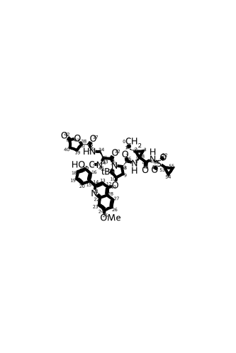 C=C[C@@H]1C[C@]1(NC(=O)[C@@H]1CC(Oc2cc(-c3ccccc3)nc3cc(OC)ccc23)CN1C(=O)[C@H](CNC(=O)[C@@H]1CCC(=O)O1)N(C(=O)O)C(C)(C)C)C(=O)NS(=O)(=O)C1CC1